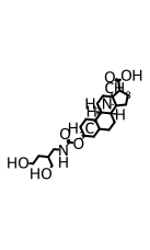 C[C@]12CCC(OC(=O)NCC(CO)CCO)CC1CC[C@@H]1[C@H]2CC[C@]2(C)C(C(=O)O)CC[C@@]12N